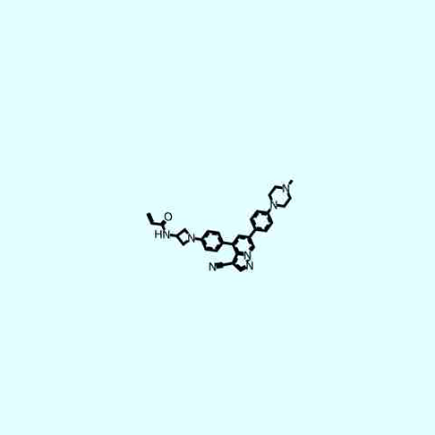 C=CC(=O)NC1CN(c2ccc(-c3cc(-c4ccc(N5CCN(C)CC5)cc4)cn4ncc(C#N)c34)cc2)C1